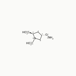 NO[C@H]1C[C@H](C(=O)O)N(C(=O)O)C1